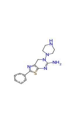 NC1=Nc2sc(-c3ccccc3)nc2CN1N1CCNCC1